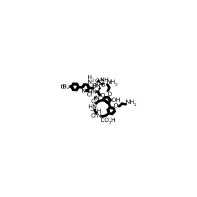 C[C@@H]1NC(=O)[C@@H](N(C)C(=O)[C@H](CNS(N)(=O)=O)NC(=O)c2c(N)cc(-c3ccc(C(C)(C)C)cc3)nc2Cl)c2cc(OCCCN)c(O)c(c2)-c2cc(ccc2OCCCN)C[C@@H](C(=O)O)NC1=O